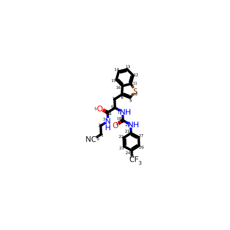 N#CCCNC(=O)C(Cc1csc2ccccc12)NC(=O)Nc1ccc(C(F)(F)F)cc1